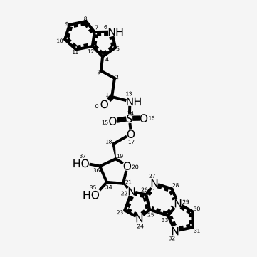 O=C(CCc1c[nH]c2ccccc12)NS(=O)(=O)OC[C@H]1O[C@@H](n2cnc3c2ncn2ccnc32)C(O)C1O